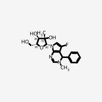 CN1C=Nc2c(c(F)cn2[C@@H]2O[C@H](CO)[C@@H](O)[C@]2(C)O)C1c1ccccc1